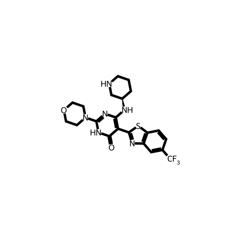 O=c1[nH]c(N2CCOCC2)nc(N[C@@H]2CCCNC2)c1-c1nc2cc(C(F)(F)F)ccc2s1